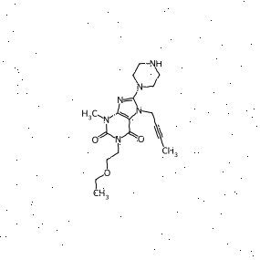 CC#CCn1c(N2CCNCC2)nc2c1c(=O)n(CCOCC)c(=O)n2C